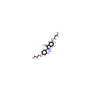 CCCCOc1ccc(-c2[nH]c3ccc(OCCCC)cc3c2Cl)cc1